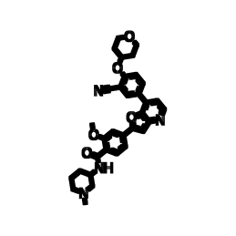 COc1cc(-c2cc3nccc(-c4ccc(OC5CCOCC5)c(C#N)c4)c3o2)ccc1C(=O)NC1CCCN(C)C1